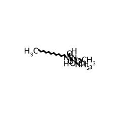 CCCCCCCCCCCCNC(=O)C(=O)N[C@H](CC(C)C)C(N)=O